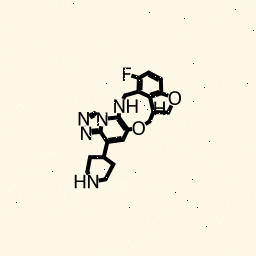 Fc1ccc2c3c1CNc1c(cc(C4CCNCC4)c4nncn14)OC[C@H]3CO2